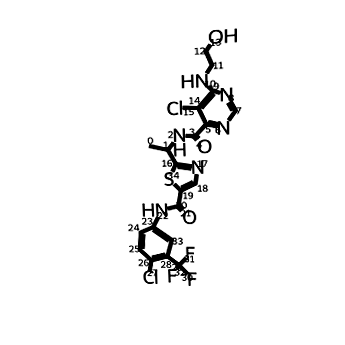 CC(NC(=O)c1ncnc(NCCO)c1Cl)c1ncc(C(=O)Nc2ccc(Cl)c(C(F)(F)F)c2)s1